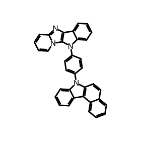 c1ccc2c(c1)ccc1c2c2ccccc2n1-c1ccc(-n2c3ccccc3c3nc4ccccn4c32)cc1